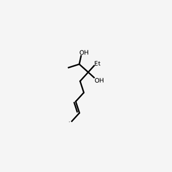 [CH2]C=CCCC(O)(CC)C(C)O